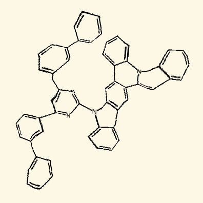 c1ccc(-c2cccc(-c3cc(-c4cccc(-c5ccccc5)c4)nc(-n4c5ccccc5c5cc6c(cc54)c4ccccc4n4c5ccccc5cc64)n3)c2)cc1